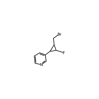 FC1C(CBr)C1c1cccnc1